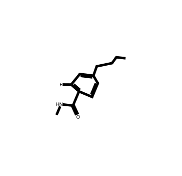 C[CH]CCc1ccc(C(=O)NC)c(F)c1